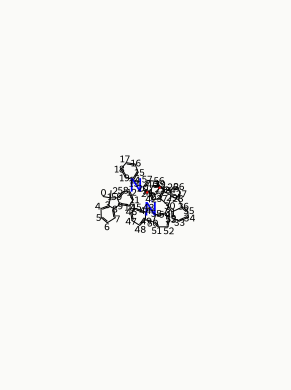 CC1(C)c2ccccc2-c2ccc(N(c3ccccc3)c3ccc(-c4cccc5c4C4(c6ccccc6-5)c5ccccc5-n5c6ccccc6c6cccc4c65)cc3)cc21